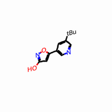 CC(C)(C)c1cncc(-c2cc(O)no2)c1